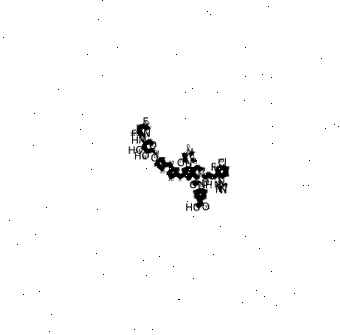 CN1CCN(c2cc(CC3CCC(CC4CCC(OC[C@H]5OC[C@H](Nc6ncc(F)cc6F)[C@@H](O)[C@H]5O)C4)C3)cc3c2CCN(C(=O)/C=C/c2c(-n4cnnn4)ccc(Cl)c2F)[C@@H]3C(=O)Nc2ccc(C(=O)O)cc2)C(=O)C1